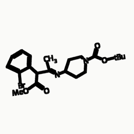 COC(=O)C(/C(C)=N/C1CCN(C(=O)OC(C)(C)C)CC1)c1ccccc1Br